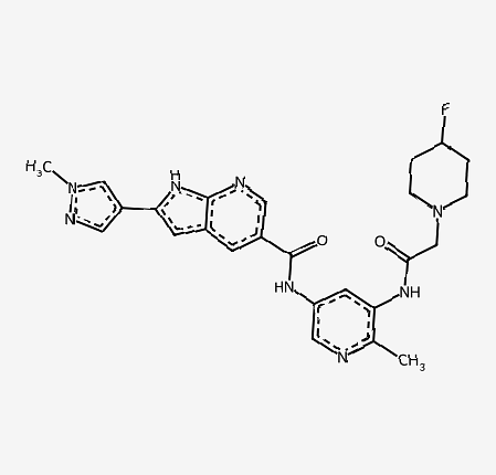 Cc1ncc(NC(=O)c2cnc3[nH]c(-c4cnn(C)c4)cc3c2)cc1NC(=O)CN1CCC(F)CC1